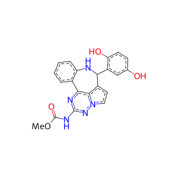 COC(=O)Nc1nc2c3c(ccn3n1)C(c1cc(O)ccc1O)Nc1ccccc1-2